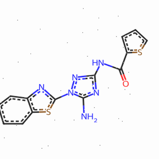 Nc1nc(NC(=O)c2cccs2)nn1-c1nc2ccccc2s1